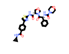 O=C(NC1CC1)c1ccc(-c2csc(NC(=O)[C@@H]3COCN3C(=O)[C@H](NC(=O)N3CCOCC3)c3ccccc3)n2)cc1